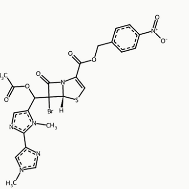 CC(=O)OC(c1cnc(-c2cn(C)cn2)n1C)C1(Br)C(=O)N2C(C(=O)OCc3ccc([N+](=O)[O-])cc3)=CS[C@@H]21